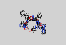 O=C1COc2ccc(cc2)C[C@@H](C(=O)N[C@@H](Cc2ccccc2)c2nnn[nH]2)NC(=O)[C@H](CCc2ccccc2)NC(=O)[C@@H](Cc2ccc(-c3ccccc3)cc2)NC(=O)[C@H](Cc2ccncc2)N1